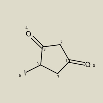 O=C1CC(=O)C(I)C1